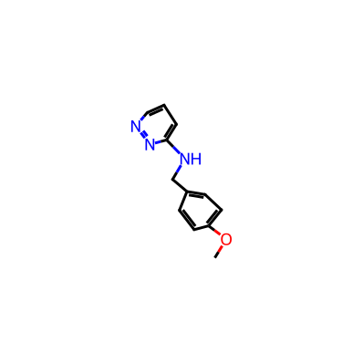 COc1ccc(CNc2cccnn2)cc1